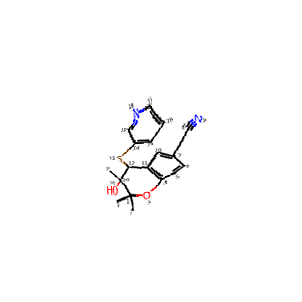 CC1(C)Oc2ccc(C#N)cc2C(Sc2cccnc2)C1(C)O